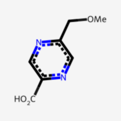 COCc1cnc(C(=O)O)cn1